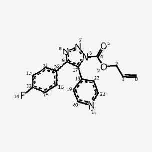 C=CCOC(=O)n1nnc(-c2ccc(F)cc2)c1-c1ccncc1